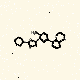 Nc1ncc(-c2cccc3ncccc23)nc1-c1nnc(-c2ccccc2)o1